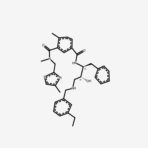 CCc1cccc(CNC[C@@H](O)[C@H](Cc2ccccc2)NC(=O)c2ccc(C)c(C(=O)N(C)Cc3nc(C)cs3)c2)c1